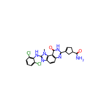 Cn1c(Nc2c(Cl)cccc2Cl)nc2ccc3nc(C4=CCC(C(N)=O)C4)[nH]c(=O)c3c21